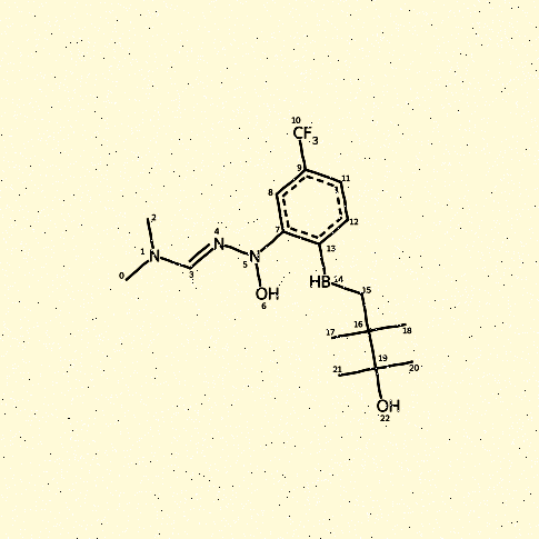 CN(C)/C=N/N(O)c1cc(C(F)(F)F)ccc1BCC(C)(C)C(C)(C)O